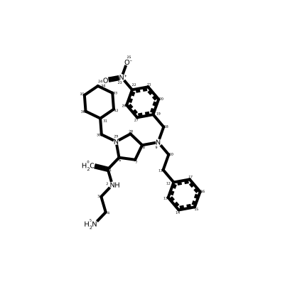 C=C(NCCN)C1CC(N(CCc2ccccc2)Cc2ccc([N+](=O)[O-])cc2)CN1CC1CCCCC1